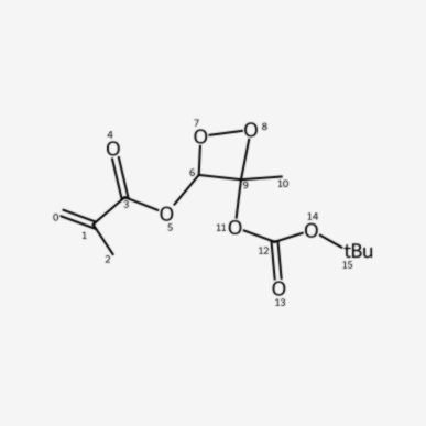 C=C(C)C(=O)OC1OOC1(C)OC(=O)OC(C)(C)C